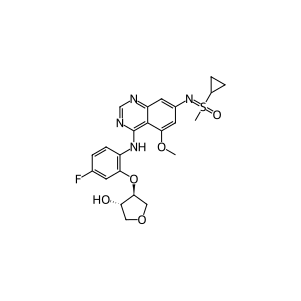 COc1cc(N=S(C)(=O)C2CC2)cc2ncnc(Nc3ccc(F)cc3O[C@H]3COC[C@@H]3O)c12